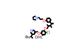 C=C(/C(C)=C(\C)COc1cc(OCc2cncc(C(C)C(C)CC)c2)c(C=O)cc1Cl)c1cccc(OCCCN2CCCC2)c1